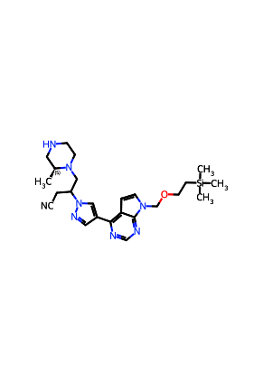 C[C@H]1CNCCN1CC(CC#N)n1cc(-c2ncnc3c2ccn3COCC[Si](C)(C)C)cn1